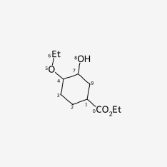 CCOC(=O)C1CCC(OCC)C(O)C1